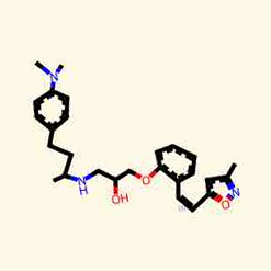 Cc1cc(/C=C\c2ccccc2OCC(O)CNC(C)CCc2ccc(N(C)C)cc2)on1